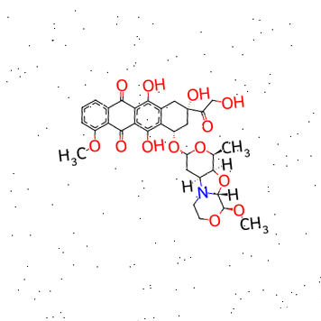 COc1cccc2c1C(=O)c1c(O)c3c(c(O)c1C2=O)C[C@@](O)(C(=O)CO)C[C@@H]3OC1C[C@H]2[C@H](O[C@@H]3[C@@H](OC)OCCN32)[C@H](C)O1